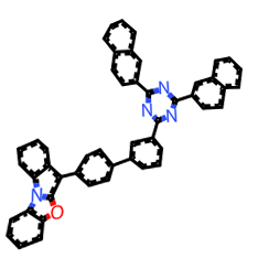 c1cc(-c2ccc(-c3c4ccccc4n4c3oc3ccccc34)cc2)cc(-c2nc(-c3ccc4ccccc4c3)nc(-c3ccc4ccccc4c3)n2)c1